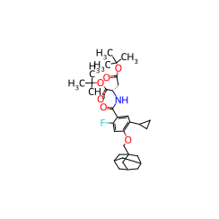 CC(C)(C)OC(=O)C[C@H](NC(=O)c1cc(C2CC2)c(OCC23CC4CC(CC(C4)C2)C3)cc1F)C(=O)OC(C)(C)C